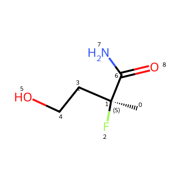 C[C@](F)([CH]CO)C(N)=O